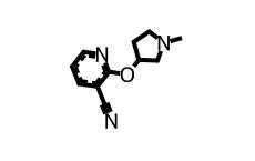 CN1CCC(Oc2ncccc2C#N)C1